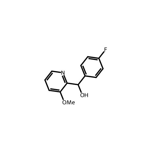 COc1cccnc1C(O)c1ccc(F)cc1